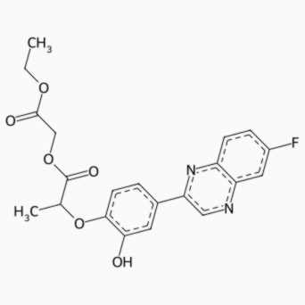 CCOC(=O)COC(=O)C(C)Oc1ccc(-c2cnc3cc(F)ccc3n2)cc1O